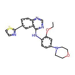 CCOc1cc(N2CCOCC2)ccc1Nc1ncnc2ccc(-c3nccs3)cc12